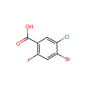 O=C(O)c1cc(Cl)c(Br)cc1I